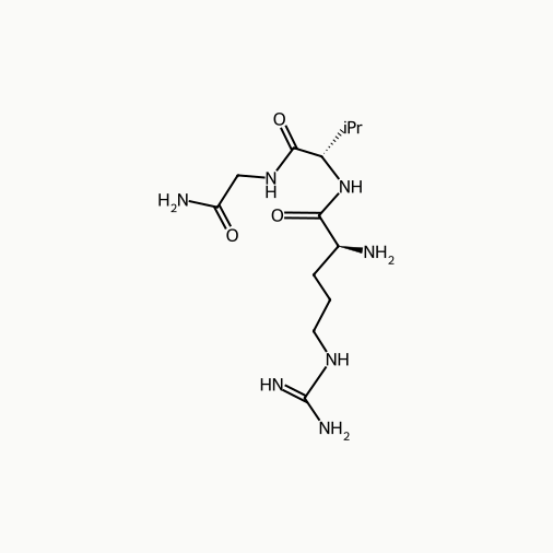 CC(C)[C@H](NC(=O)[C@@H](N)CCCNC(=N)N)C(=O)NCC(N)=O